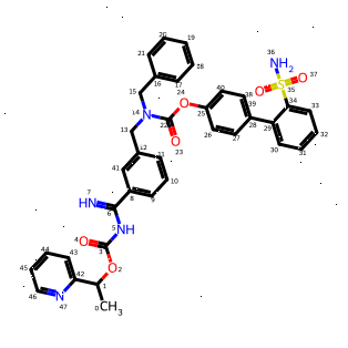 CC(OC(=O)NC(=N)c1cccc(CN(Cc2ccccc2)C(=O)Oc2ccc(-c3ccccc3S(N)(=O)=O)cc2)c1)c1ccccn1